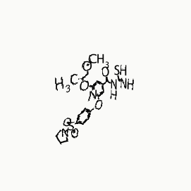 COC[C@@H](C)Oc1cc(C(=O)NC(=N)S)cc(Oc2ccc(S(=O)(=O)N3CCCC3)cc2)n1